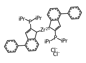 CC(C)P(C1=Cc2c(-c3ccccc3)cccc2[CH]1[Zr+2][CH]1C(P(C(C)C)C(C)C)=Cc2c(-c3ccccc3)cccc21)C(C)C.[Cl-].[Cl-]